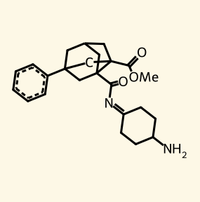 COC(=O)C12CC3CC(c4ccccc4)(CC1(C(=O)N=C1CCC(N)CC1)C3)C2